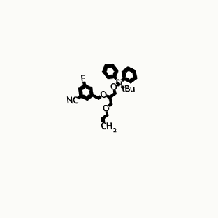 C=CCOCC(CO[Si](c1ccccc1)(c1ccccc1)C(C)(C)C)OCc1cc(F)cc(C#N)c1